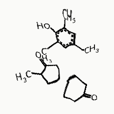 CC1CCCC1=O.Cc1cc(C)c(O)c(C)c1.O=C1CCCCC1